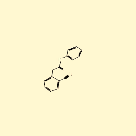 N#Cc1ccccc1CC(=O)Nc1ccccc1